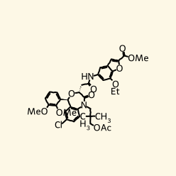 CCOc1cc(NC(=O)C[C@H]2O[C@H](c3cccc(OC)c3OC)c3cc(Cl)ccc3N(CC(C)(C)COC(C)=O)C2=O)cc2cc(C(=O)OC)oc12